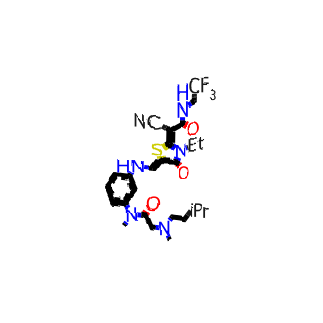 CCn1c(=C(C#N)C(=O)NCC(F)(F)F)sc(=CNc2cccc(N(C)C(=O)CN(C)CCC(C)C)c2)c1=O